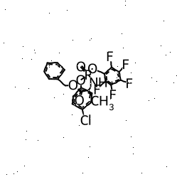 CC(NP(=O)(Oc1ccc(Cl)cc1)Oc1c(F)c(F)c(F)c(F)c1F)C(=O)OCc1ccccc1